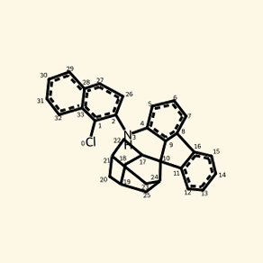 Clc1c(Nc2cccc3c2C2(c4ccccc4-3)C3CC4CC(C3)CC2C4)ccc2ccccc12